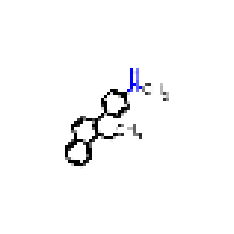 CCc1c(-c2ccc(NC)cc2)ccc2ccccc12